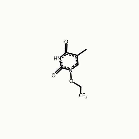 Cc1cn(OCC(F)(F)F)c(=O)[nH]c1=O